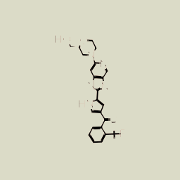 C[C@@H]1CN(c2cc3[nH]c(-c4cc(C(=O)c5ccccc5C(F)(F)F)c[nH]4)nc3cn2)C[C@@H](CO)O1